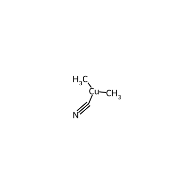 [CH3][Cu]([CH3])[C]#N